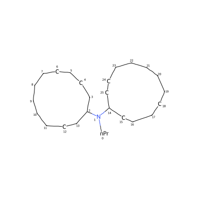 CCCN(C1CCCCCCCCCCC1)C1CCCCCCCCCCC1